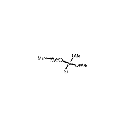 CC[Si](OC)(OC)OC.CNC